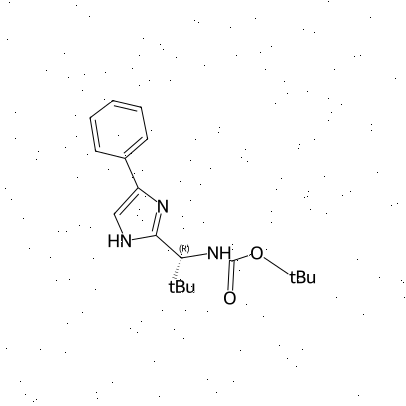 CC(C)(C)OC(=O)N[C@@H](c1nc(-c2ccccc2)c[nH]1)C(C)(C)C